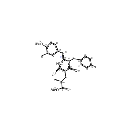 COC(=O)[C@@H](C)Cn1c(=O)[nH]/c(=N\c2ccc(OCC(C)C)c(C)c2)n(Cc2ccc(C)cc2)c1=O